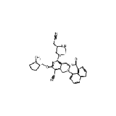 CN1CCC[C@H]1COc1nc(N2CCN[C@H](CC#N)C2)c2c(c1C#N)CN(c1cccc3cccc(C(N)=O)c13)CC2